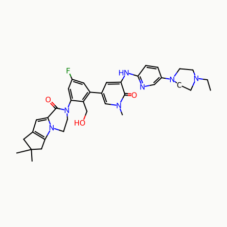 CCN1CCN(c2ccc(Nc3cc(-c4cc(F)cc(N5CCn6c(cc7c6CC(C)(C)C7)C5=O)c4CO)cn(C)c3=O)nc2)CC1